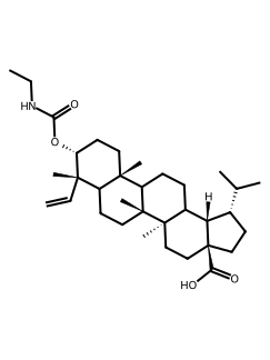 C=C[C@@]1(C)C2CC[C@]3(C)C(CCC4[C@@H]5[C@H](C(C)C)CC[C@]5(C(=O)O)CC[C@]43C)[C@@]2(C)CC[C@H]1OC(=O)NCC